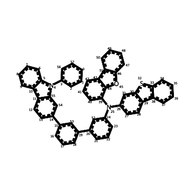 c1ccc(-n2c3ccccc3c3ccc(-c4cccc(-c5cccc(N(c6ccc7c(c6)sc6ccccc67)c6cccc7c6oc6ccccc67)c5)c4)cc32)cc1